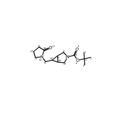 CC(C)(C)OC(=O)N1CC2C(CN3CCCC3=O)C2C1